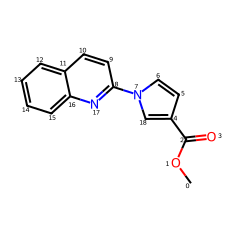 COC(=O)c1ccn(-c2ccc3ccccc3n2)c1